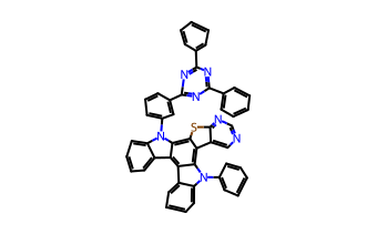 c1ccc(-c2nc(-c3ccccc3)nc(-c3cccc(-n4c5ccccc5c5c6c7ccccc7n(-c7ccccc7)c6c6c7cncnc7sc6c54)c3)n2)cc1